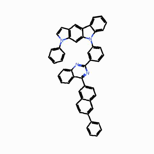 c1ccc(-c2ccc3cc(-c4nc(-c5cccc(-n6c7ccccc7c7cc8ccn(-c9ccccc9)c8cc76)c5)nc5ccccc45)ccc3c2)cc1